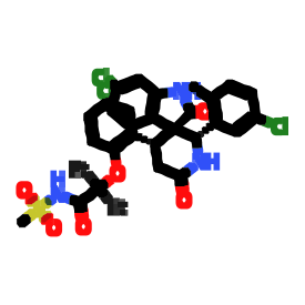 CCC(CC)(Oc1ccc(Cl)cc1[C@H]1CC(=O)N[C@@H](c2cc(Cl)ccc2C)[C@]12C(=O)Nc1cc(Cl)ccc12)C(=O)NS(C)(=O)=O